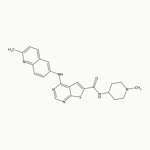 Cc1ccc2cc(Nc3ncnc4sc(C(=O)NC5CCN(C)CC5)cc34)ccc2n1